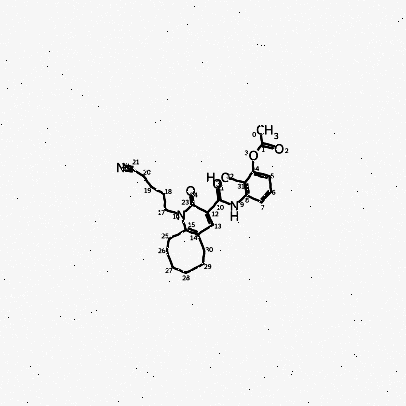 CC(=O)Oc1cccc(NC(=O)c2cc3c(n(CCCCC#N)c2=O)CCCCCC3)c1C